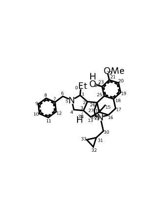 CCC1C2[C@H](CN1Cc1ccccc1)CC1(C)C3Cc4ccc(OC)c(O)c4C21CCN3CC1CC1